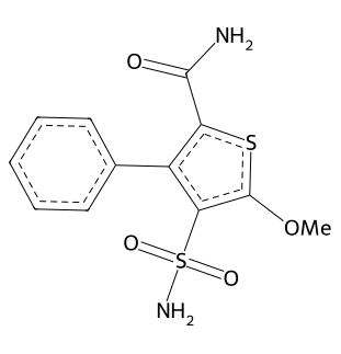 COc1sc(C(N)=O)c(-c2ccccc2)c1S(N)(=O)=O